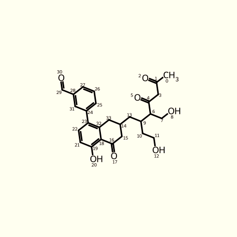 CC(=O)CC(=O)C(CO)C(CCO)CC1CC(=O)c2c(O)ccc(-c3cccc(C=O)c3)c2C1